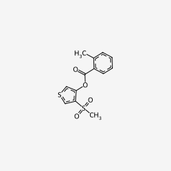 Cc1ccccc1C(=O)Oc1cscc1S(C)(=O)=O